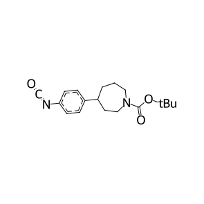 CC(C)(C)OC(=O)N1CCCC(c2ccc(N=C=O)cc2)CC1